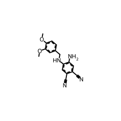 COc1ccc(CNc2cc(C#N)c(C#N)cc2N)cc1OC